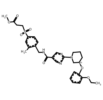 CCOc1ccccc1O[C@@H]1CCCN(c2ncc(C(=O)NCc3ccc(S(=O)(=O)CCC(=O)OC)cc3C)cn2)C1